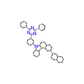 C1=C=CC(c2nc(-c3ccccc3)nc(-c3cccc(-n4c5ccccc5c5c6cc(-c7ccc8ccccc8c7)ccc6ccc54)c3)n2)=CC=1